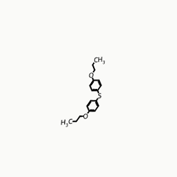 CCCOc1ccc(Sc2ccc(OCCC)cc2)cc1